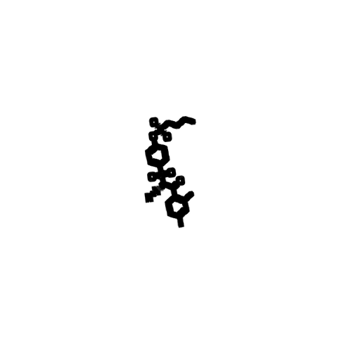 CCCCS(=O)(=O)Oc1ccc(S(=O)(=O)C(=[N+]=[N-])C(=O)c2ccc(C)cc2C)cc1